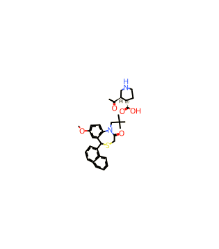 CC(=O)[C@H]1CNCC[C@@H]1C(=O)O.COc1ccc2c(c1)C(c1cccc3ccccc13)SCC(=O)N2CC(C)(C)C